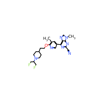 Cc1cc(-c2nc(C#N)nc3c2ncn3C)cnc1OCCC1CCN(C(CF)CF)CC1